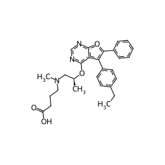 CCc1ccc(-c2c(-c3ccccc3)oc3ncnc(O[C@@H](C)CN(C)CCCC(=O)O)c23)cc1